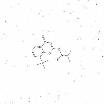 CC(C)(C)c1cccc2c(=O)cc(OC(F)C(F)F)oc12